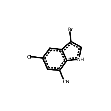 N#Cc1cc(Cl)cc2c(Br)c[nH]c12